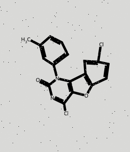 Cc1cccc(-n2c(=O)nc(Cl)c3oc4ccc(Cl)cc4c32)c1